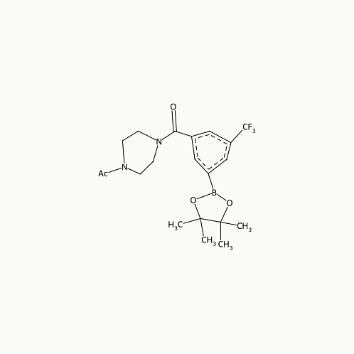 CC(=O)N1CCN(C(=O)c2cc(B3OC(C)(C)C(C)(C)O3)cc(C(F)(F)F)c2)CC1